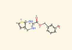 O=C(OCc1cccc(Br)c1)C1NCc2ccsc2N1